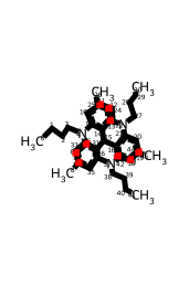 CCCCN(CCCC)c1ccccc1[C](c1ccccc1N(CCCC)CCCC)c1ccccc1N(CCCC)CCCC